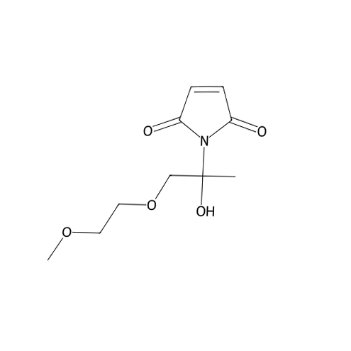 COCCOCC(C)(O)N1C(=O)C=CC1=O